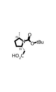 C[C@H]1CC[C@@H](CC(=O)O)N1C(=O)OC(C)(C)C